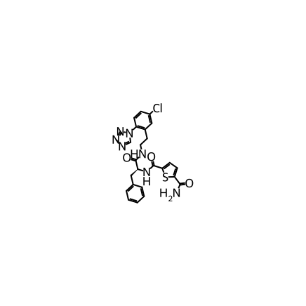 NC(=O)c1ccc(C(=O)N[C@@H](Cc2ccccc2)C(=O)NCCc2cc(Cl)ccc2-n2cnnn2)s1